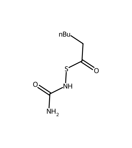 CCCCCC(=O)SNC(N)=O